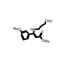 COC(=O)/C=C(\NCCCC=O)c1cccc(OC)c1